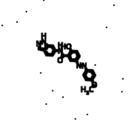 COc1ccc(/N=N/c2ccc(O)c(C(=O)Nc3ccc4cn[nH]c4c3)c2)cc1